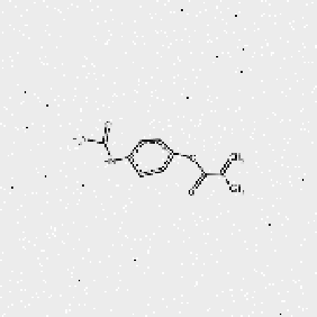 C=C(C)C(=O)Oc1ccc(NC(N)=O)cc1